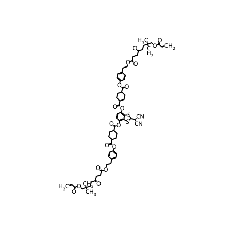 C=CC(=O)OCC(C)(C)CCC(=O)CCC(=O)OCCc1ccc(OC(=O)C2CCC(C(=O)Oc3ccc(OC(=O)C4CCC(C(=O)Oc5ccc(CCOC(=O)CCC(=O)CCC(C)(C)COC(=O)C=C)cc5)CC4)c4c3SC(C(C#N)C#N)S4)CC2)cc1